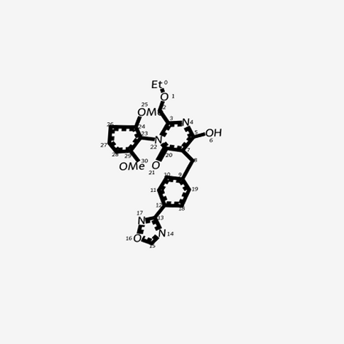 CCOCc1nc(O)c(Cc2ccc(-c3ncon3)cc2)c(=O)n1-c1c(OC)cccc1OC